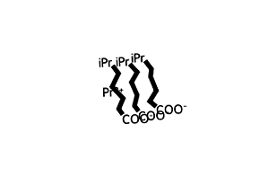 CC(C)CCCCC(=O)[O-].CC(C)CCCCC(=O)[O-].CC(C)CCCCC(=O)[O-].[Pr+3]